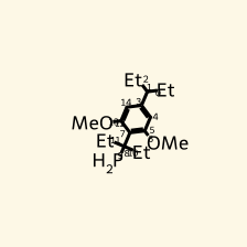 CCC(CC)c1cc(OC)c(C(P)(CC)CC)c(OC)c1